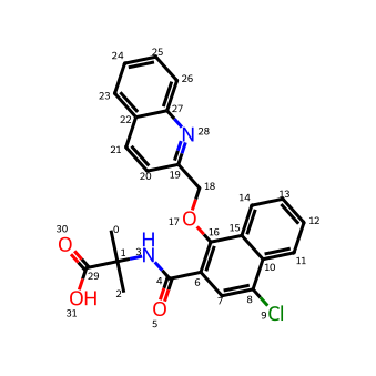 CC(C)(NC(=O)c1cc(Cl)c2ccccc2c1OCc1ccc2ccccc2n1)C(=O)O